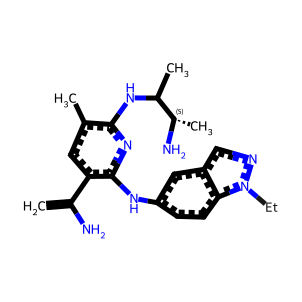 C=C(N)c1cc(C)c(NC(C)[C@H](C)N)nc1Nc1ccc2c(cnn2CC)c1